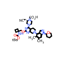 Cc1cc2c(cnn2C2CCCCO2)c(N2CCc3c(nc(OCC4(NC(=O)OC(C)(C)C)CCC4)nc3N3CCN(C(=O)O)[C@@H](CC#N)C3)C2)c1C